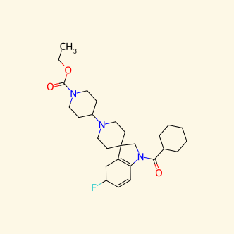 CCOC(=O)N1CCC(N2CCC3(CC2)CN(C(=O)C2CCCCC2)C2=C3CC(F)C=C2)CC1